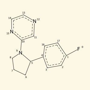 Fc1ccc(C2CCCN2c2cnccn2)cc1